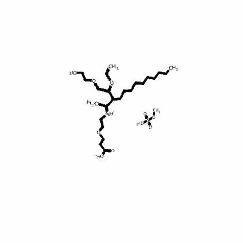 CCCCCCCCCCC(C(C)NCCOCCC(=O)O)C(COCCO)OCC.COS(=O)(=O)O